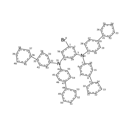 Brc1cc(N(c2ccc(-c3ccccc3)cc2)c2ccc(-c3ccccc3)cc2)cc(N(c2ccc(-c3ccccc3)cc2)c2ccc(-c3ccccc3)cc2)c1